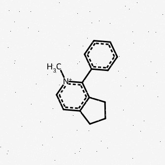 C[n+]1ccc2c(c1-c1ccccc1)CCC2